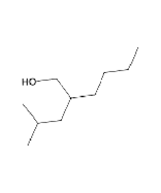 CCCCC(CO)CC(C)C